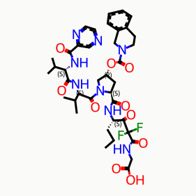 CCC[C@H](NC(=O)[C@@H]1C[C@@H](OC(=O)N2CCc3ccccc3C2)CN1C(=O)[C@@H](NC(=O)[C@@H](NC(=O)c1cnccn1)C(C)C)C(C)C)C(=O)C(F)(F)C(=O)NCC(=O)O